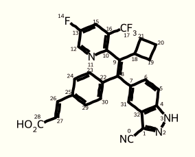 N#Cc1n[nH]c2ccc(/C(=C(/c3ncc(F)cc3C(F)(F)F)C3CCC3)c3ccc(/C=C/C(=O)O)cc3)cc12